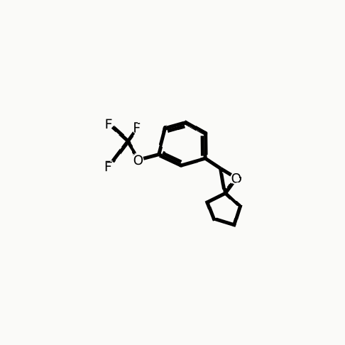 FC(F)(F)Oc1cccc(C2OC23CCCC3)c1